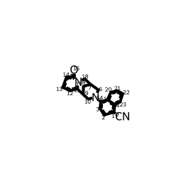 N#Cc1ccc(N2CC3CC(C2)c2cccc(=O)n2C3)c2ccccc12